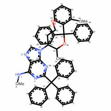 CONc1nc(C(c2ccccc2)(c2ccccc2)c2ccccc2)nc2c1ncn2C(CCO)C(C)OC(c1ccccc1)(c1ccccc1)c1ccccc1OC